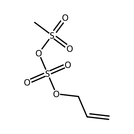 C=CCOS(=O)(=O)OS(C)(=O)=O